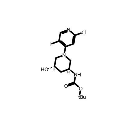 CC(C)(C)OC(=O)N[C@H]1C[C@H](O)CN(c2cc(Cl)ncc2I)C1